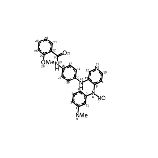 CNc1cccc(N(N=O)c2ccncc2Nc2ccc(NC(=O)c3ccccc3OC)cc2)c1